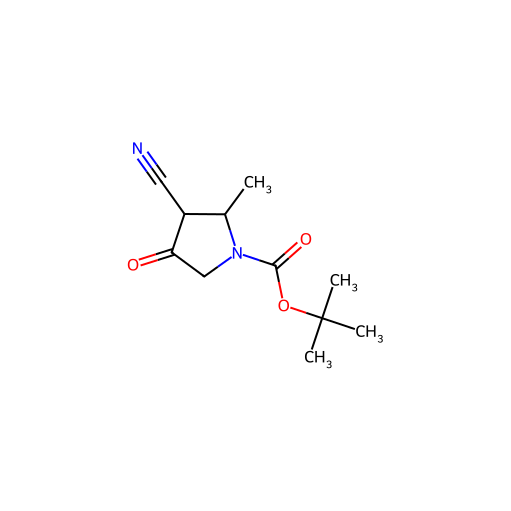 CC1C(C#N)C(=O)CN1C(=O)OC(C)(C)C